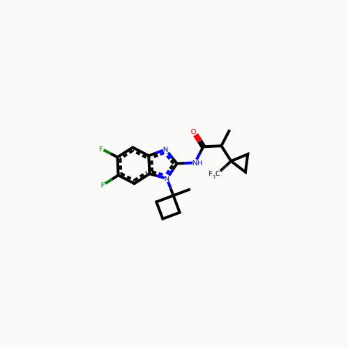 CC(C(=O)Nc1nc2cc(F)c(F)cc2n1C1(C)CCC1)C1(C(F)(F)F)CC1